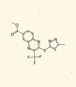 COC(=O)c1ccc2nc(Sc3nnc(C)s3)c(C(F)(F)F)nc2c1